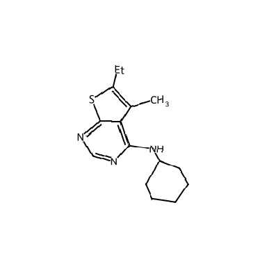 CCc1sc2ncnc(NC3CCCCC3)c2c1C